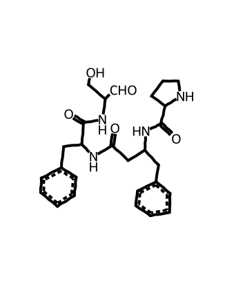 O=CC(CO)NC(=O)C(Cc1ccccc1)NC(=O)CC(Cc1ccccc1)NC(=O)C1CCCN1